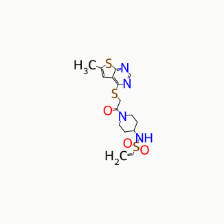 C=CS(=O)(=O)NC1CCN(C(=O)CSc2ncnc3sc(C)cc23)CC1